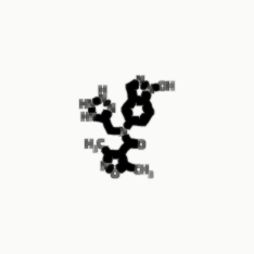 Cc1noc(C)c1C(=O)N(CC1=NNNN1)c1ccc2c(cnn2O)c1